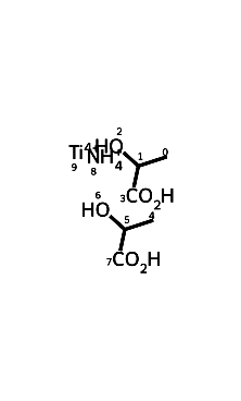 CC(O)C(=O)O.CC(O)C(=O)O.[NH4+].[Ti+4]